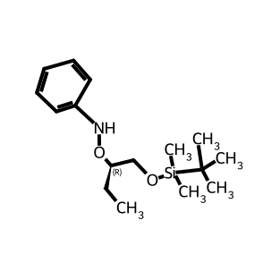 CC[C@H](CO[Si](C)(C)C(C)(C)C)ONc1ccccc1